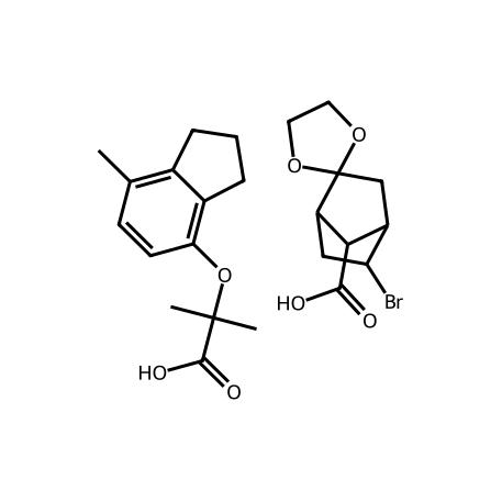 Cc1ccc(OC(C)(C)C(=O)O)c2c1CCC2.O=C(O)C1C2CC3(OCCO3)C1CC2Br